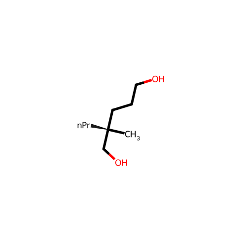 CCC[C@@](C)(CO)CCCO